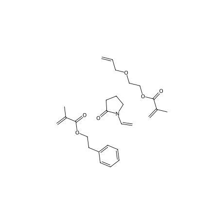 C=C(C)C(=O)OCCc1ccccc1.C=CCOCCOC(=O)C(=C)C.C=CN1CCCC1=O